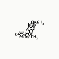 [CH2]n1cc(C(=O)c2c(F)ccc(NS(=O)(=O)CCC)c2F)c2cc(-c3ccc(Cl)cc3)cnc21